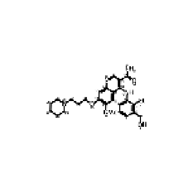 CCc1c(CO)cccc1Nc1c(C(N)=O)cnc2cc(OCCCN3CCCCC3)c(OC)cc12